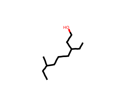 CCC(C)CCCC(CC)CCO